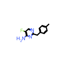 Cc1ccc(Cc2ncc(F)c(N)n2)cc1